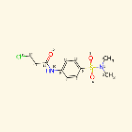 CN(C)S(=O)(=O)c1ccc(NC(=O)CCCl)cc1